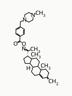 C=C1C=C2CC[C@@H]3C(CC[C@@]4(C)C3CC[C@@H]4/C(C)=N/OC(=O)c3ccc(CN4CCN(C)CC4)cc3)[C@@]2(C)CC1